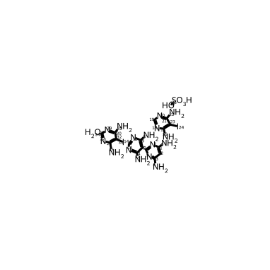 Nc1cc(N)ncn1.Nc1cc(N)ncn1.Nc1ncnc(N)c1I.Nc1ncnc(N)c1I.O.O=S(=O)(O)O